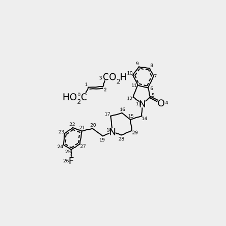 O=C(O)/C=C/C(=O)O.O=C1c2ccccc2CN1CC1CCN(CCc2cccc(F)c2)CC1